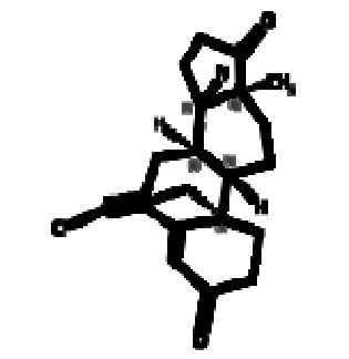 C[C@]12CC[C@H]3[C@@H](CCC4=CC(=O)CC[C@@]43CC#CCl)[C@@H]1CCC2=O